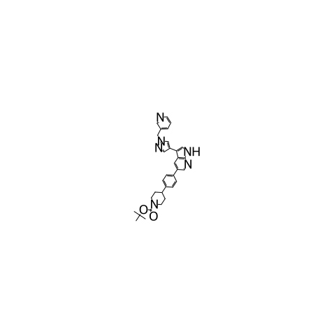 CC(C)(C)OC(=O)N1CCC(c2ccc(-c3cnc4[nH]cc(-c5cnn(Cc6cccnc6)c5)c4c3)cc2)CC1